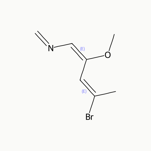 C=N/C=C(\C=C(/C)Br)OC